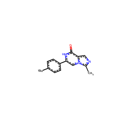 Cc1ncc2c(=O)[nH]c(-c3ccc(C(C)(C)C)cc3)cn12